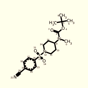 CN(C(=O)OC(C)(C)C)C1CCN(S(=O)(=O)c2ccc(C#N)cc2)CC1